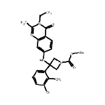 Cc1c(Cl)cccc1C1(Nc2ccc3c(=O)n(CC(F)(F)F)c(C)nc3c2)CN(C(=O)OC(C)(C)C)C1